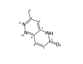 Cc1cc2[nH]c(=O)ccc2nn1